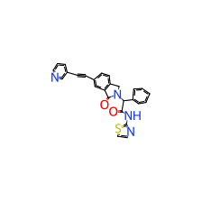 O=C(Nc1nccs1)C(c1ccccc1)N1Cc2ccc(C#Cc3cccnc3)cc2C1=O